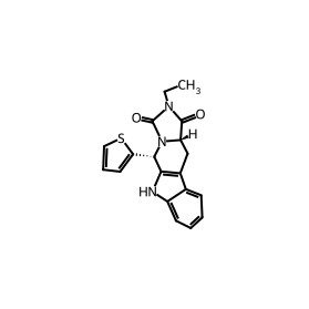 CCN1C(=O)[C@@H]2Cc3c([nH]c4ccccc34)[C@H](c3cccs3)N2C1=O